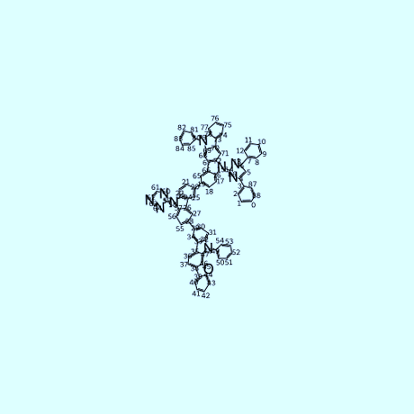 c1ccc(-c2cc(-c3ccccc3)nc(-n3c4ccc(-c5ccc6c(c5)c5cc(-c7ccc8c(c7)c7ccc9c%10ccccc%10oc9c7n8-c7ccccc7)ccc5n6-c5ncncn5)cc4c4cc5c(cc43)c3ccccc3n5-c3ccccc3)n2)cc1